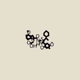 COc1cc(-c2nc(NC(=O)c3cc4c(OC)cccc4n3CC(=O)O)sc2C(C)C2CCCCC2)c(OC)cc1C